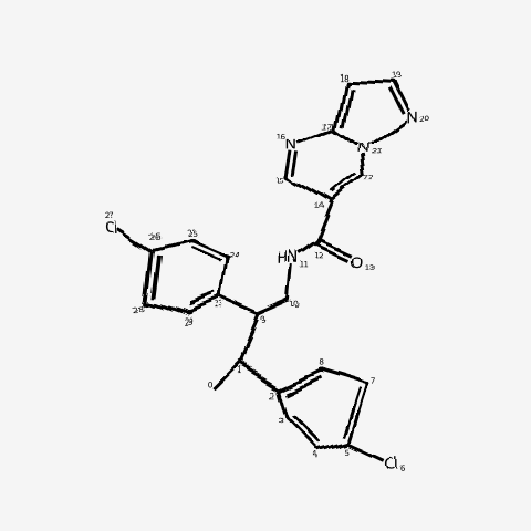 CC(c1ccc(Cl)cc1)C(CNC(=O)c1cnc2ccnn2c1)c1ccc(Cl)cc1